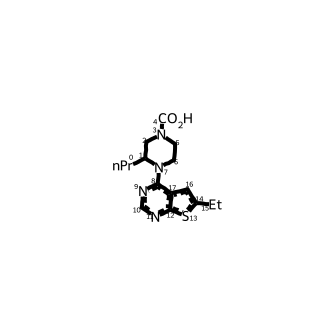 CCCC1CN(C(=O)O)CCN1c1ncnc2sc(CC)cc12